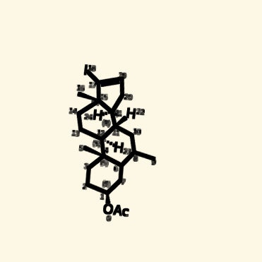 CC(=O)O[C@H]1CC[C@@]2(C)C(C1)C(C)C[C@@H]1[C@@H]2CC[C@]2(C)C(I)=CC[C@@H]12